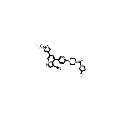 Cn1cc(-c2cc(-c3ccc(N4CCN(C(=O)N5CCC(O)C5)CC4)nc3)c3c(C#N)cnn3c2)cn1